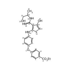 CCOC(=O)c1ccc(Oc2ccc(Nc3snc(O)c3C(=N)NC(C)CO)cc2)cc1